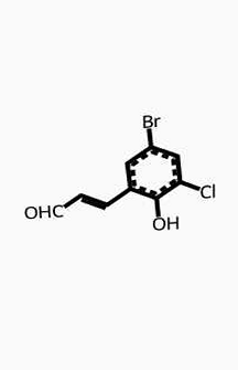 O=CC=Cc1cc(Br)cc(Cl)c1O